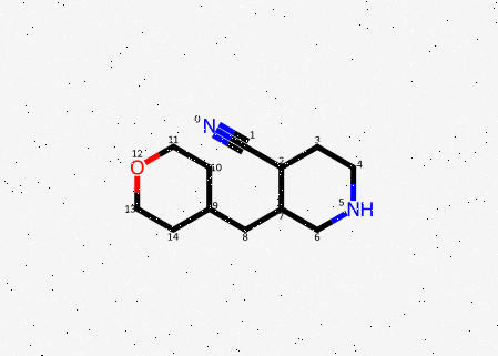 N#CC1CCNCC1CC1CCOCC1